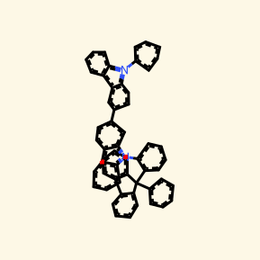 c1ccc(-n2c3ccccc3c3cc(-c4ccc5c6ccccc6n(-c6ccccc6C6(c7ccccc7)c7ccccc7-c7ccccc76)c5c4)ccc32)cc1